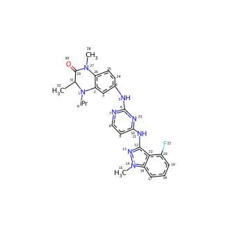 CC(C)N1c2cc(Nc3nccc(Nc4nn(C)c5cccc(F)c45)n3)ccc2N(C)C(=O)C1C